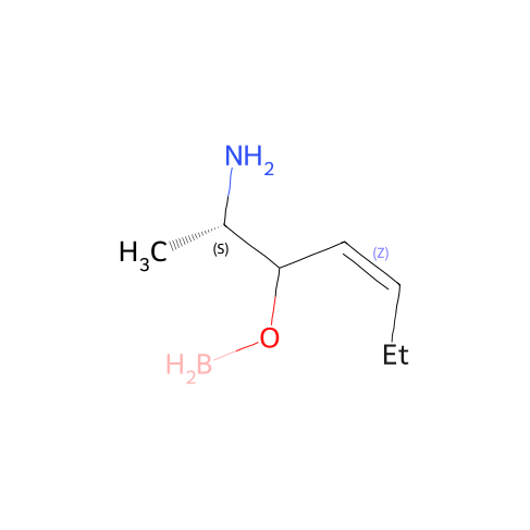 BOC(/C=C\CC)[C@H](C)N